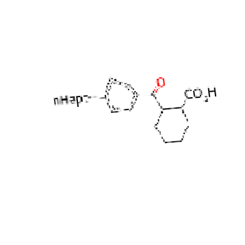 CCCCCCCc1ccc(C(=O)C2CCCCC2C(=O)O)cc1